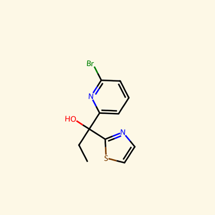 CCC(O)(c1cccc(Br)n1)c1nccs1